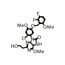 COC1=NC(CCO)=NC2C1NC(=O)N2c1cc(OCc2c(OC)ccc(F)c2F)c(OC)cc1Cl